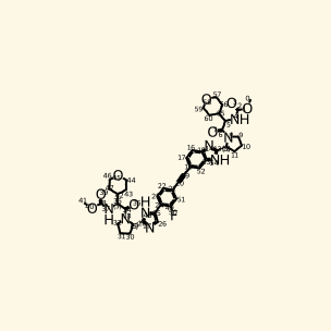 COC(=O)NC(C(=O)N1CCC[C@H]1c1nc2ccc(C#Cc3ccc(-c4cnc([C@@H]5CCCN5C(=O)[C@@H](NC(=O)OC)C5CCOCC5)[nH]4)c(F)c3)cc2[nH]1)C1CCOCC1